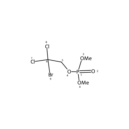 COP(=O)(OC)OCC(Cl)(Cl)Br